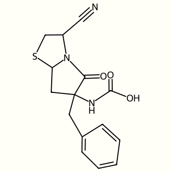 N#CC1CSC2CC(Cc3ccccc3)(NC(=O)O)C(=O)N12